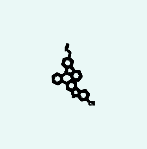 C=NCc1ccc2c(c1)c1ccccc1n2-c1ccccc1-c1ccc2c(c1)sc1cc(C#N)ccc12